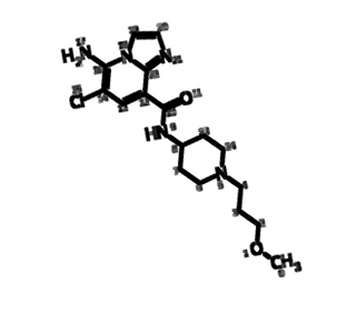 COCCCN1CCC(NC(=O)c2cc(Cl)c(N)n3ccnc23)CC1